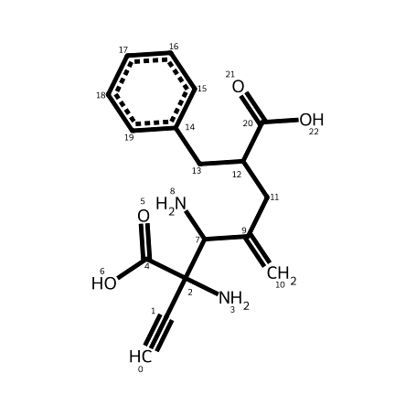 C#CC(N)(C(=O)O)C(N)C(=C)CC(Cc1ccccc1)C(=O)O